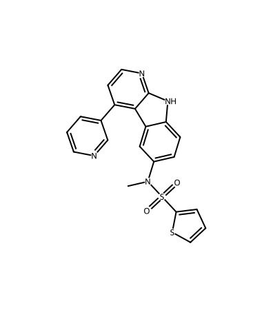 CN(c1ccc2[nH]c3nccc(-c4cccnc4)c3c2c1)S(=O)(=O)c1cccs1